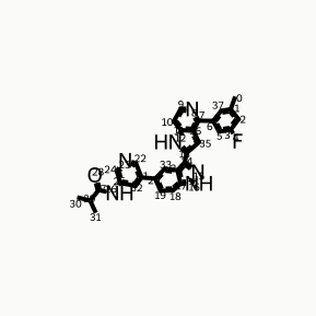 Cc1cc(F)cc(-c2nccc3[nH]c(-c4n[nH]c5ccc(-c6cncc(NC(=O)C(C)C)c6)cc45)cc23)c1